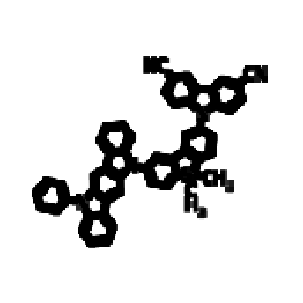 C[Si]1(C)c2ccc(-n3c4ccc(C#N)cc4c4cc(C#N)ccc43)cc2-c2cc(-n3c4ccccc4c4cc5c(cc43)c3ccccc3n5-c3ccccc3)ccc21